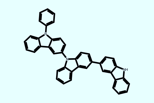 c1ccc(-n2c3ccccc3c3cc(-n4c5ccccc5c5cc(-c6ccc7[nH]c8ccccc8c7c6)ccc54)ccc32)cc1